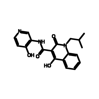 CC(C)Cn1c(=O)c(C(=O)Nc2cnccc2O)c(O)c2ccccc21